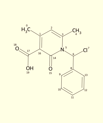 Cc1cc(C)n(C(Cl)c2ccccc2)c(=O)c1C(=O)O